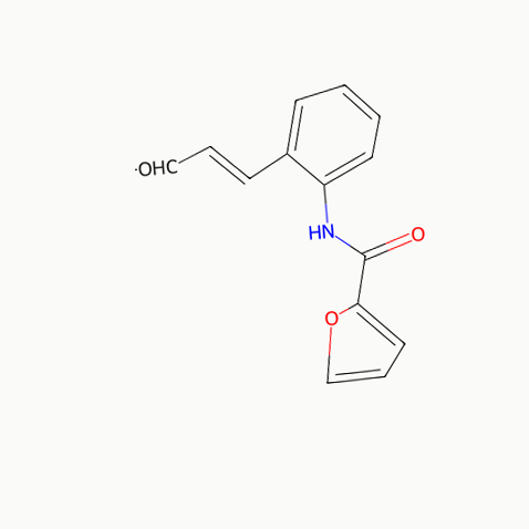 O=[C]/C=C/c1ccccc1NC(=O)c1ccco1